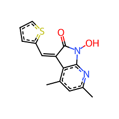 Cc1cc(C)c2c(n1)N(O)C(=O)C2=Cc1cccs1